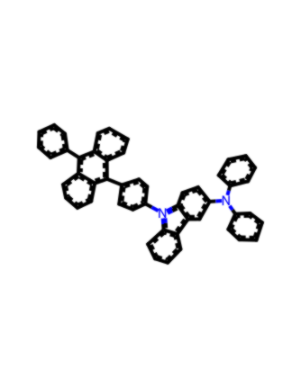 c1ccc(-c2c3ccccc3c(-c3ccc(-n4c5ccccc5c5cc(N(c6ccccc6)c6ccccc6)ccc54)cc3)c3ccccc23)cc1